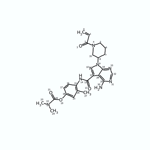 C=CC(=O)N1CCCC(n2nc(C(=O)Nc3ccc(OC(=O)N(C)C)cc3C)c3c(N)ncnc32)C1